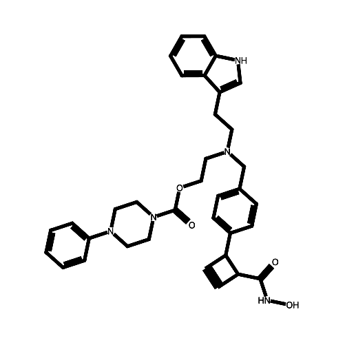 O=C(NO)C1C#CC1c1ccc(CN(CCOC(=O)N2CCN(c3ccccc3)CC2)CCc2c[nH]c3ccccc23)cc1